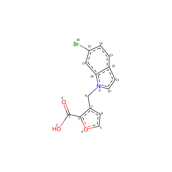 O=C(O)c1occc1Cn1ccc2ccc(Br)cc21